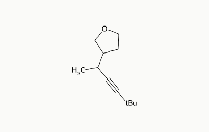 CC(C#CC(C)(C)C)C1CCOC1